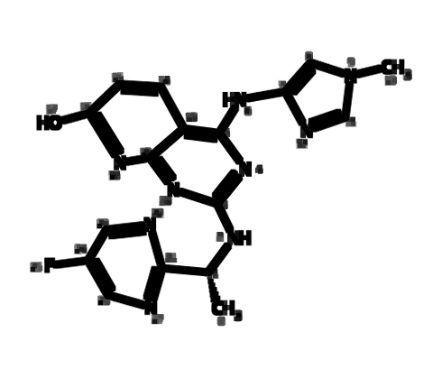 C[C@@H](Nc1nc(Nc2cn(C)cn2)c2ccc(O)nc2n1)c1ncc(F)cn1